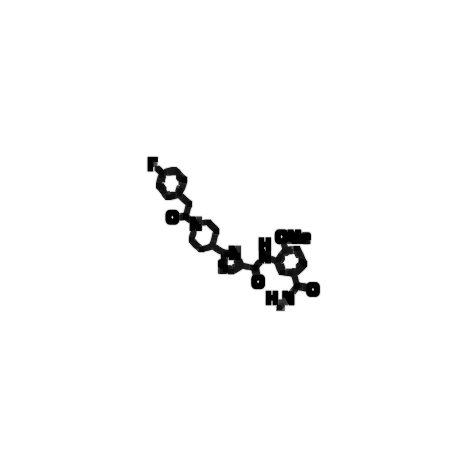 COc1ccc(C(N)=O)cc1NC(=O)c1csc(C2CCN(C(=O)Cc3ccc(F)cc3)CC2)n1